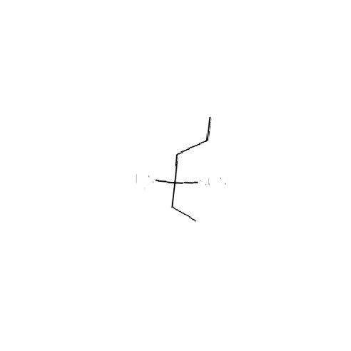 CCCC(N)(N)CC.N